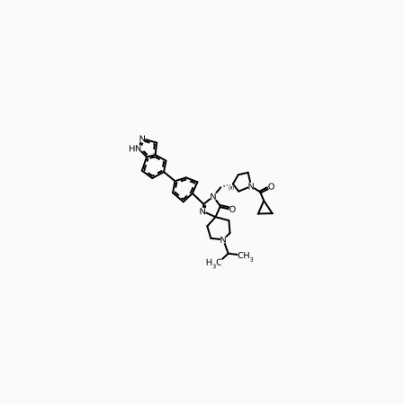 CC(C)N1CCC2(CC1)N=C(c1ccc(-c3ccc4[nH]ncc4c3)cc1)N(C[C@@H]1CCN(C(=O)C3CC3)C1)C2=O